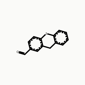 O=Cc1ccc2c(c1)Cc1ccccc1S2